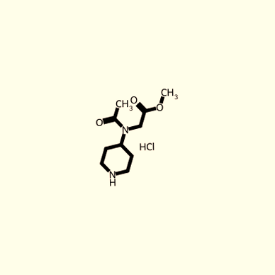 COC(=O)CN(C(C)=O)C1CCNCC1.Cl